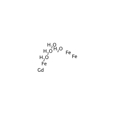 O.O.O.O.[Fe].[Fe].[Fe].[Gd]